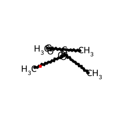 CCCCCCCCCCCCCCCCCC(=O)OC.CCCCCCCCCCCCCCCCCC(=O)OC(=O)CCCCCCCCCCCCCCCCC